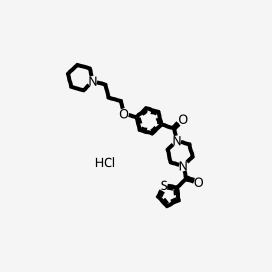 Cl.O=C(c1ccc(OCCCN2CCCCC2)cc1)N1CCN(C(=O)c2cccs2)CC1